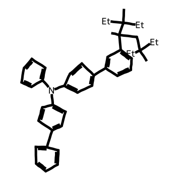 CCC(C)(CC)CC(C)(c1cccc(-c2ccc(N(c3ccccc3)c3ccc(-c4ccccc4)cc3)cc2)c1)C(C)(CC)CC